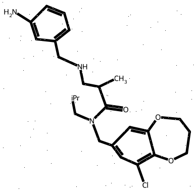 CC(C)CN(Cc1cc(Cl)c2c(c1)OCCCO2)C(=O)C(C)CNCc1cccc(N)c1